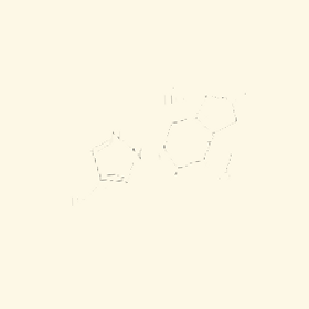 OC[C@]12CC[C@H](n3cc(Br)cn3)C[C@@]1(O)COC2